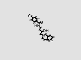 O=C(NCCC(O)CN1CCc2ccccc2C1)c1ccc(Cl)cc1